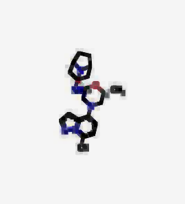 C[C@@H]1CN(c2ccc(C#N)n3nccc23)C[C@H](CN2C3CCC2CC(N)C3)O1